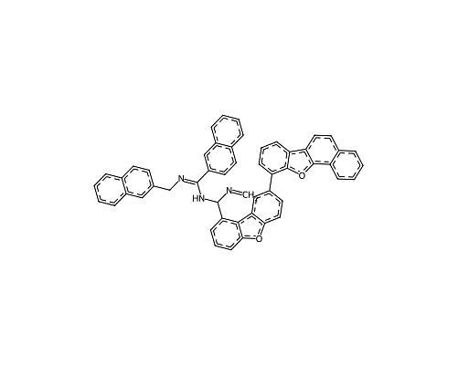 C=NC(N/C(=N\Cc1ccc2ccccc2c1)c1ccc2ccccc2c1)c1cccc2oc3ccc(-c4cccc5c4oc4c6ccccc6ccc54)cc3c12